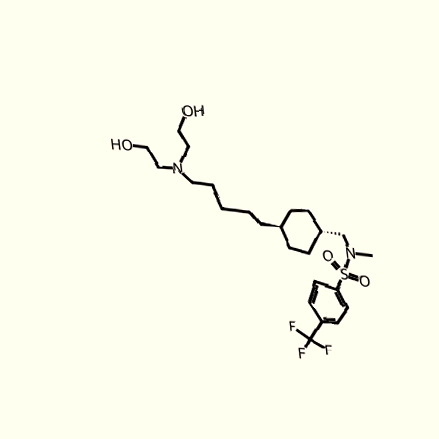 CN(C[C@H]1CC[C@H](CCCCCN(CCO)CCO)CC1)S(=O)(=O)c1ccc(C(F)(F)F)cc1